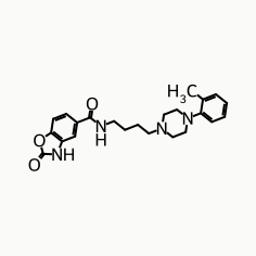 Cc1ccccc1N1CCN(CCCCNC(=O)c2ccc3oc(=O)[nH]c3c2)CC1